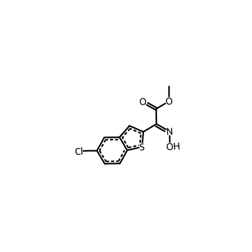 COC(=O)/C(=N/O)c1cc2cc(Cl)ccc2s1